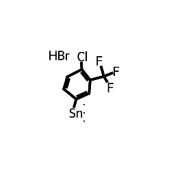 Br.FC(F)(F)c1c[c]([Sn])ccc1Cl